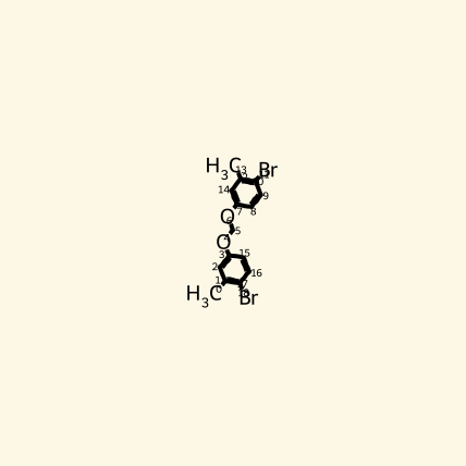 Cc1cc(OCOc2ccc(Br)c(C)c2)ccc1Br